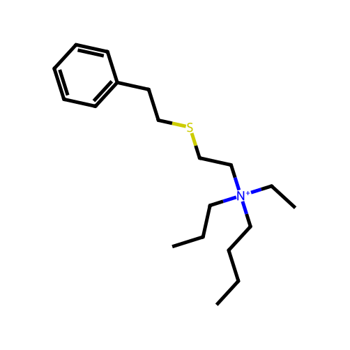 CCCC[N+](CC)(CCC)CCSCCc1ccccc1